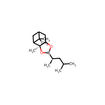 CC(C)C[C@@H](C)B1OC2CC3CC(C3(C)C)[C@]2(C)O1